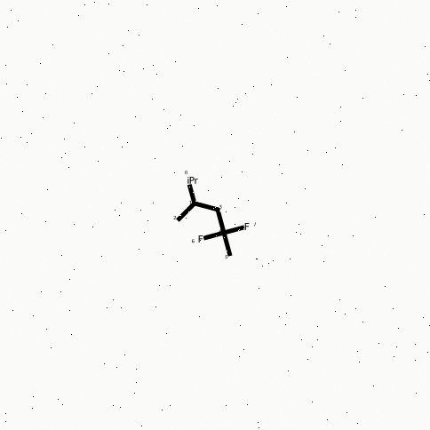 CC(C)C(C)CC(C)(F)F